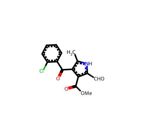 COC(=O)c1c(C=O)[nH]c(C)c1C(=O)c1ccccc1Cl